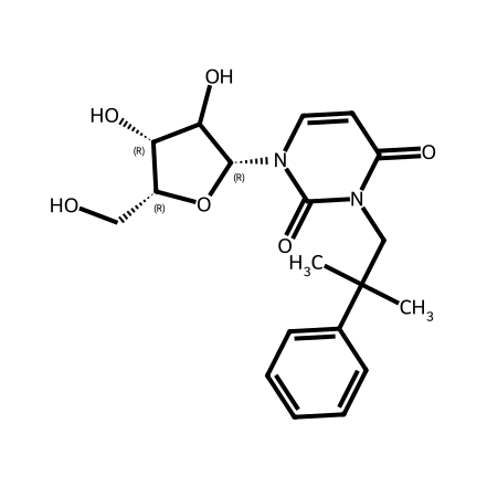 CC(C)(Cn1c(=O)ccn([C@@H]2O[C@H](CO)[C@H](O)C2O)c1=O)c1ccccc1